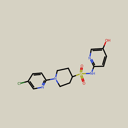 O=S(=O)(Nc1ccc(O)cn1)C1CCN(c2ccc(Cl)cn2)CC1